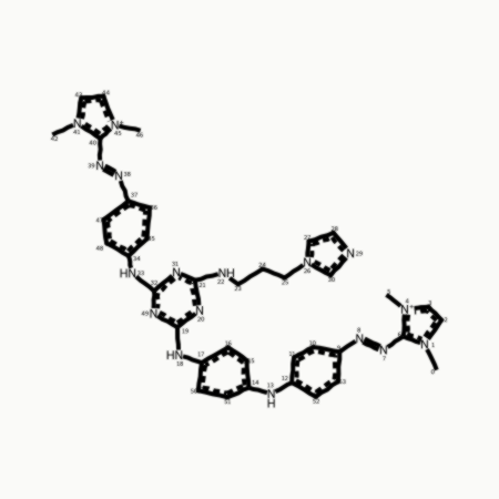 Cn1cc[n+](C)c1/N=N/c1ccc(Nc2ccc(Nc3nc(NCCCn4ccnc4)nc(Nc4ccc(/N=N/c5n(C)cc[n+]5C)cc4)n3)cc2)cc1